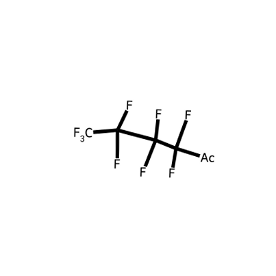 CC(=O)C(F)(F)C(F)(F)C(F)(F)C(F)(F)F